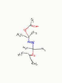 CC(=O)OC(C)(C)N=NC(C)(C)OC(C)C